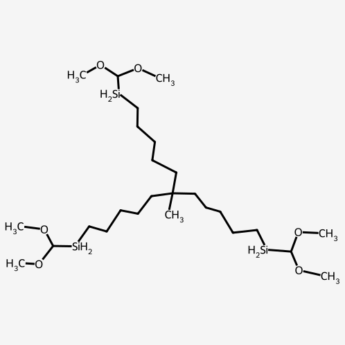 COC(OC)[SiH2]CCCCCC(C)(CCCCC[SiH2]C(OC)OC)CCCCC[SiH2]C(OC)OC